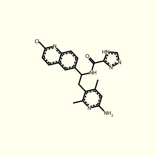 Cc1cc(N)nc(C)c1CC(NC(=O)c1nnc[nH]1)c1ccc2nc(Cl)ccc2c1